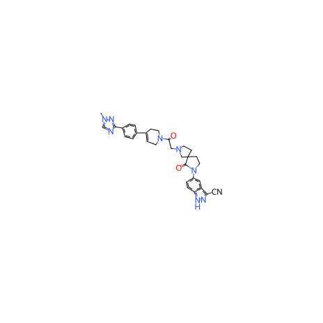 Cn1cnc(-c2ccc(C3=CCN(C(=O)CN4CCC5(CCN(c6ccc7[nH]nc(C#N)c7c6)C5=O)C4)CC3)cc2)n1